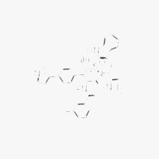 CCCCS(=O)(=O)N(C(=O)[C@H](Cc1ccc(-c2ccns2)cc1)N(C)C(=O)c1cc(C)cc(C)c1)[C@@H](Cc1c[nH]c2ccccc12)C(N)=O